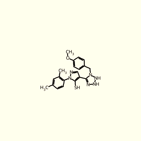 COc1ccc(CN2NNN=C2c2cnn(-c3ccc(C)cc3C)c2S)cc1